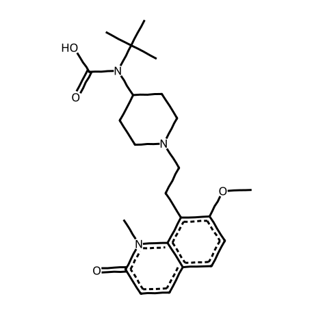 COc1ccc2ccc(=O)n(C)c2c1CCN1CCC(N(C(=O)O)C(C)(C)C)CC1